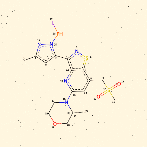 Cc1cc(-c2nsc3c(CS(C)(=O)=O)cc(N4CCOC[C@H]4C)nc23)n(PI)n1